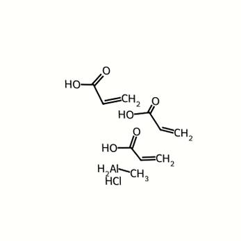 C=CC(=O)O.C=CC(=O)O.C=CC(=O)O.Cl.[CH3][AlH2]